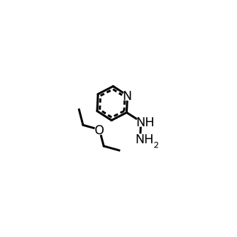 CCOCC.NNc1ccccn1